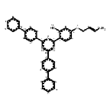 CC=CCOc1ccc(-c2nc(-c3ccc(-c4ccccc4)cc3)nc(-c3ccc(-c4ccccc4)cc3)n2)c(O)c1